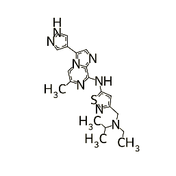 CCN(Cc1cc(Nc2nc(C)cn3c(-c4cn[nH]c4)cnc23)sn1)C(C)C